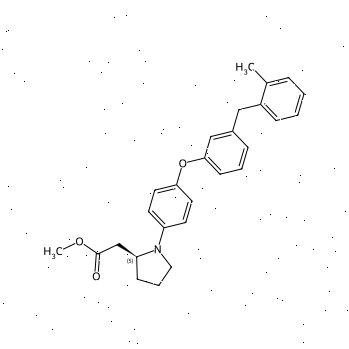 COC(=O)C[C@@H]1CCCN1c1ccc(Oc2cccc(Cc3ccccc3C)c2)cc1